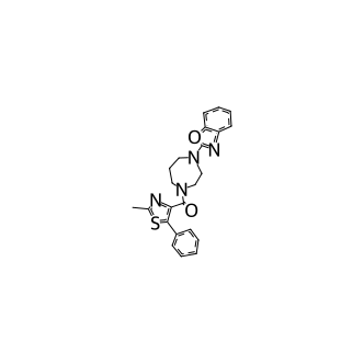 Cc1nc(C(=O)N2CCCN(c3nc4ccccc4o3)CC2)c(-c2ccccc2)s1